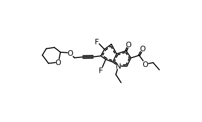 CCOC(=O)c1cn(CC)c2c(F)c(C#CCOC3CCCCO3)c(F)cc2c1=O